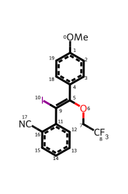 COc1ccc(C(OCC(F)(F)F)=C(I)c2ccccc2C#N)cc1